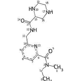 CCN(C)C(=O)c1cccc(CNC(=O)C2CNCCN2)n1